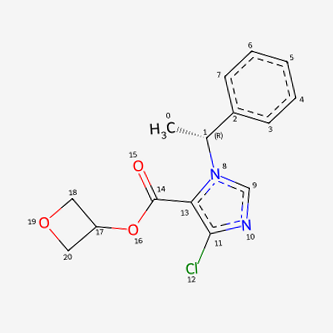 C[C@H](c1ccccc1)n1cnc(Cl)c1C(=O)OC1COC1